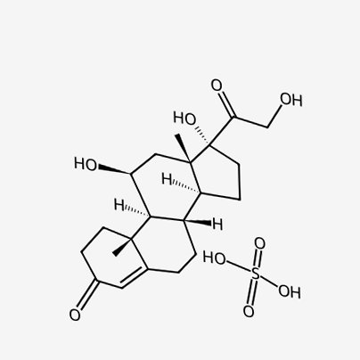 C[C@]12CCC(=O)C=C1CC[C@@H]1[C@@H]2[C@@H](O)C[C@@]2(C)[C@H]1CC[C@]2(O)C(=O)CO.O=S(=O)(O)O